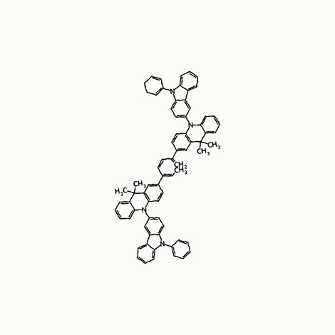 C=C(/C=C\C(=C/C)c1ccc2c(c1)C(C)(C)c1ccccc1N2c1ccc2c(c1)c1ccccc1n2-c1ccccc1)c1ccc2c(c1)C(C)(C)c1ccccc1N2c1ccc2c(c1)c1ccccc1n2C1=CCCC=C1